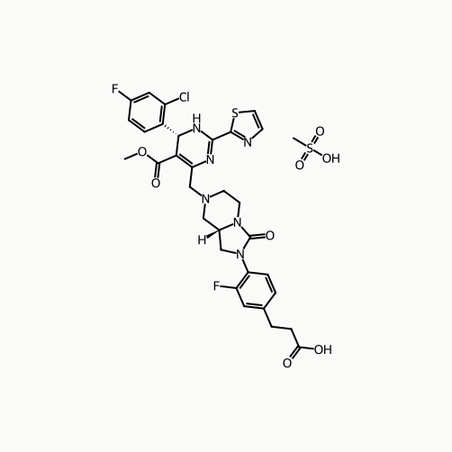 COC(=O)C1=C(CN2CCN3C(=O)N(c4ccc(CCC(=O)O)cc4F)C[C@@H]3C2)N=C(c2nccs2)N[C@H]1c1ccc(F)cc1Cl.CS(=O)(=O)O